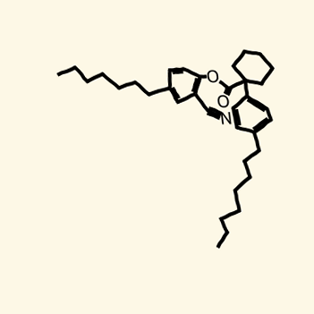 CCCCCCCCc1ccc(C2(C(=O)Oc3ccc(CCCCCCC)cc3C#N)CCCCC2)cc1